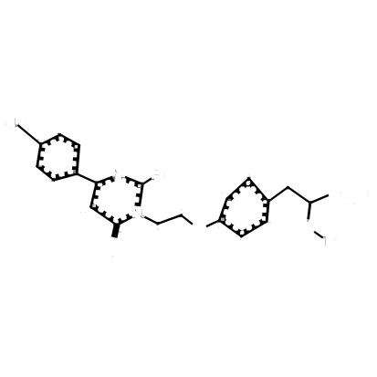 CCOC(=O)C(Cc1ccc(OCCn2c(CC)nc(-c3ccc(Cl)cc3)cc2=O)cc1)OCC